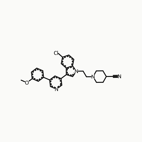 COc1cccc(-c2cncc(-c3cn(CCN4CCC(C#N)CC4)c4ccc(Cl)cc34)c2)c1